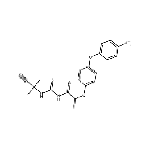 C#CC(C)(C)NC(=S)NC(=O)C(C)Oc1ccc(Oc2ccc(C(F)(F)F)cc2)cc1